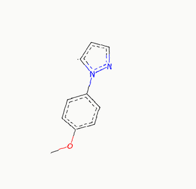 COc1ccc(-n2[c]ccn2)cc1